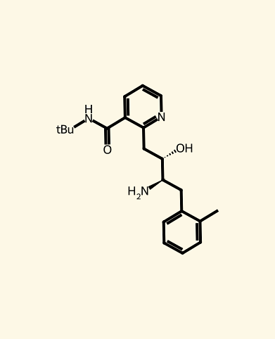 Cc1ccccc1C[C@@H](N)[C@@H](O)Cc1ncccc1C(=O)NC(C)(C)C